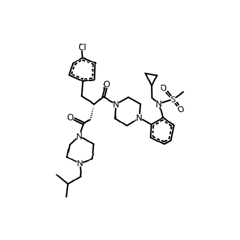 CC(C)CN1CCN(C(=O)C[C@H](Cc2ccc(Cl)cc2)C(=O)N2CCN(c3ccccc3N(CC3CC3)S(C)(=O)=O)CC2)CC1